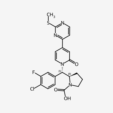 CSc1nccc(-c2ccn([C@@H](c3ccc(Cl)c(F)c3)[C@H]3CCCN3C(=O)O)c(=O)c2)n1